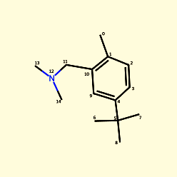 Cc1ccc(C(C)(C)C)cc1CN(C)C